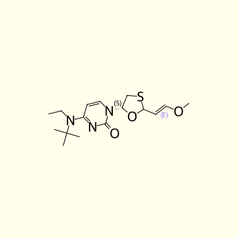 CCN(c1ccn([C@@H]2CSC(/C=C/OC)O2)c(=O)n1)C(C)(C)C